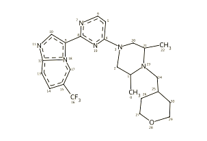 CC1CN(c2ccnc(-c3cnc4ccc(C(F)(F)F)cn34)n2)CC(C)N1CC1CCOCC1